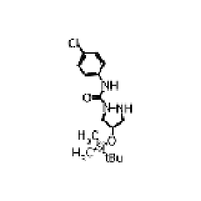 CC(C)(C)[Si](C)(C)OC1CNN(C(=O)Nc2ccc(Cl)cc2)C1